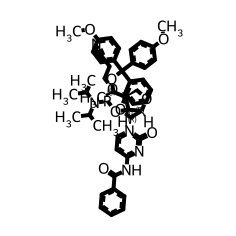 COc1ccc(C(O[C@H](C)[C@@]23CO[C@@H]([C@H](n4ccc(NC(=O)c5ccccc5)nc4=O)O2)[C@@H]3OP(OCCC#N)N(C(C)C)C(C)C)(c2ccccc2)c2ccc(OC)cc2)cc1